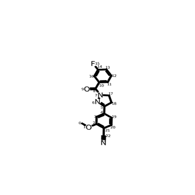 COc1cc(C2=NN(C(=O)c3cccc(F)c3)CC2)ccc1C#N